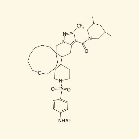 CC(=O)Nc1ccc(S(=O)(=O)N2CCC(C3Cc4c(C(=O)N5CC(C)CC(C)C5)c(C(F)(F)F)nn4CC34CCCCCCCCCC4)CC2)cc1